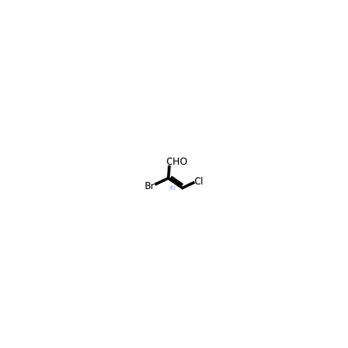 O=C/C(Br)=C\Cl